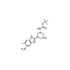 Cc1cc2c(cc1N)nc(N1C[C@H](F)C[C@@H](NC(=O)OC(C)(C)C)C1)n2C